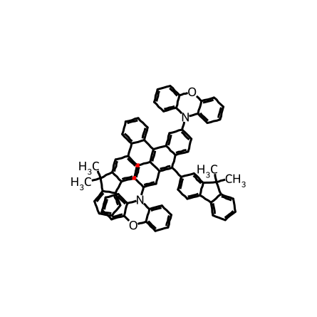 CC1(C)c2ccccc2-c2ccc(-c3ccccc3-c3c4ccc(N5c6ccccc6Oc6ccccc65)cc4c(-c4ccc5c(c4)C(C)(C)c4ccccc4-5)c4ccc(N5c6ccccc6Oc6ccccc65)cc34)cc21